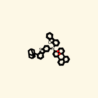 c1ccc(-c2cccc3cccc(-c4ccc(N(c5ccc6sc7c(C89CC%10CC(CC(C%10)C8)C9)cccc7c6c5)c5cccc6c5oc5ccccc56)cc4)c23)cc1